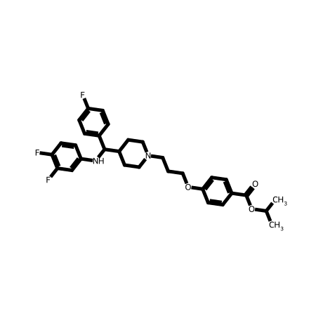 CC(C)OC(=O)c1ccc(OCCCN2CCC(C(Nc3ccc(F)c(F)c3)c3ccc(F)cc3)CC2)cc1